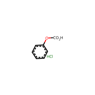 Cl.O=C(O)Oc1ccccc1